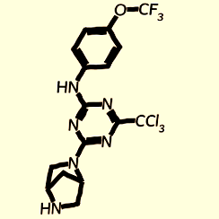 FC(F)(F)Oc1ccc(Nc2nc(N3CC4CC3CN4)nc(C(Cl)(Cl)Cl)n2)cc1